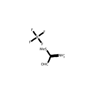 CSC(=[NH2+])C=O.F[B-](F)(F)F